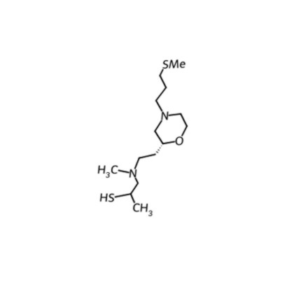 CSCCCN1CCO[C@H](CCN(C)CC(C)S)C1